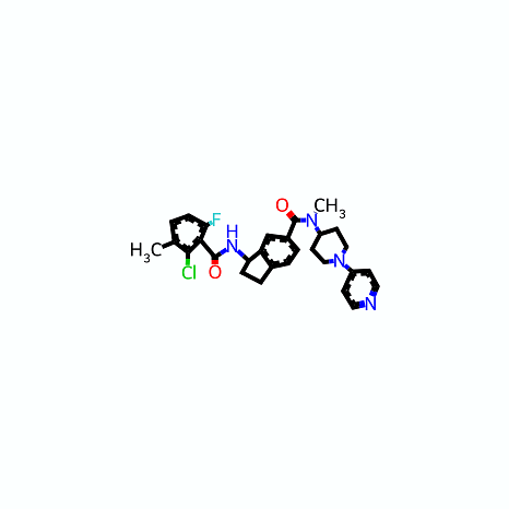 Cc1ccc(F)c(C(=O)NC2CCc3ccc(C(=O)N(C)C4CCN(c5ccncc5)CC4)cc32)c1Cl